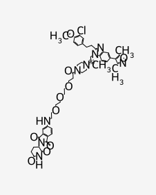 COc1ccc(CCc2nc3cc(-c4c(C)noc4C)ccc3n2C[C@H](C)N2CCN(C(=O)CCOCCOCCOCCNc3ccc4c(c3)C(=O)N(C3CCC(=O)NC3=O)C4=O)CC2)cc1Cl